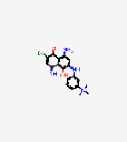 C[N+](C)(C)c1cccc(Nc2cc(N)c3c(c2O)C(=N)C=C(Br)C3=O)c1